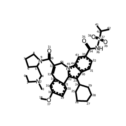 CCN(C)CC1CCCN1C(=O)C1=Cc2cc(OC)ccc2-c2c(C3CCCCC3)c3ccc(C(=O)NS(=O)(=O)C(C)C)cc3n2C1